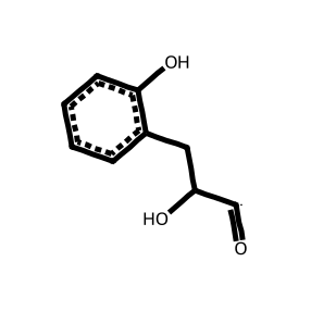 O=[C]C(O)Cc1ccccc1O